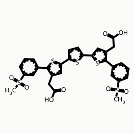 CS(=O)(=O)c1cccc(-c2sc(-c3ccc(-c4cc(CC(=O)O)c(-c5cccc(S(C)(=O)=O)c5)s4)s3)cc2CC(=O)O)c1